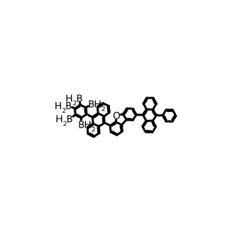 Bc1c(B)c(B)c(-c2c3ccccc3c(-c3cccc4c3oc3ccc(-c5c6ccccc6c(-c6ccccc6)c6ccccc56)cc34)c3ccccc23)c(B)c1B